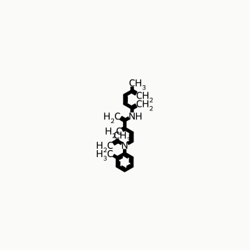 C=C(C)/C=C\C(=C)NC(=C)C(=C)/C=C\N(C(=C)C)c1ccccc1C